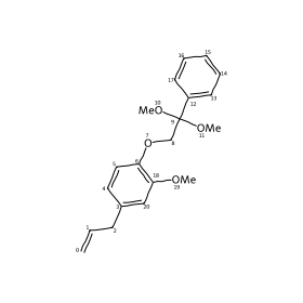 C=CCc1ccc(OCC(OC)(OC)c2ccccc2)c(OC)c1